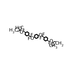 C=CC(=O)OC(CC)c1ccc(C(F)(F)Oc2ccc(OC(F)(F)c3ccc(C(CC)OC(=O)C=C)cc3)cc2)cc1